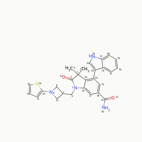 CC1(C)C(=O)N(CC2CN(c3cccs3)C2)c2cc(C(N)=O)cc(-c3c[nH]c4ccccc34)c21